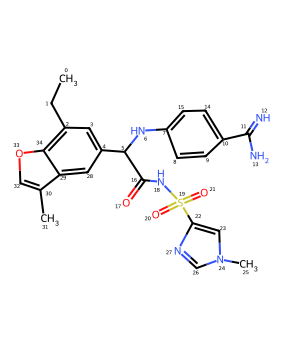 CCc1cc(C(Nc2ccc(C(=N)N)cc2)C(=O)NS(=O)(=O)c2cn(C)cn2)cc2c(C)coc12